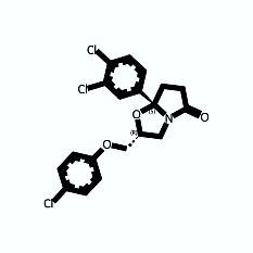 O=C1CC[C@@]2(c3ccc(Cl)c(Cl)c3)O[C@@H](COc3ccc(Cl)cc3)CN12